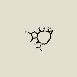 CCC1CC2C(=O)NC3(C(C)=O)CC3/C=C\CN(N(C)C)C(=O)C2C1C